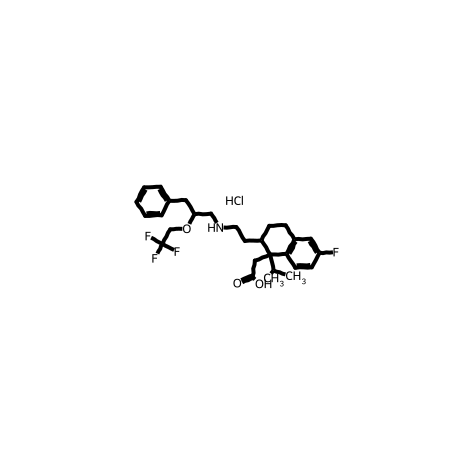 CC(C)C1(CC(=O)O)c2ccc(F)cc2CCC1CCNCC(Cc1ccccc1)OCC(F)(F)F.Cl